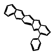 [c]1ccc(-c2cccc3cc4cc5cc6ccccc6cc5cc4cc23)cc1